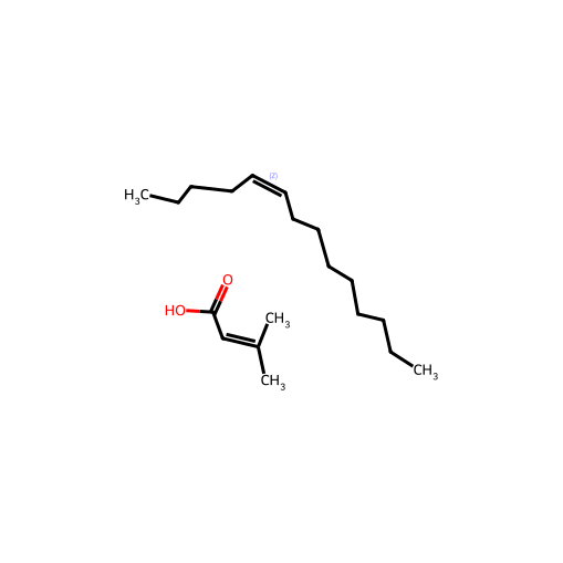 CC(C)=CC(=O)O.CCCC/C=C\CCCCCCCC